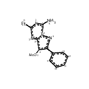 CCc1nc(N)n2nc(-c3ccccc3)c(OC)c2n1